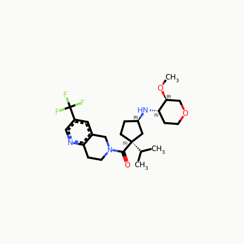 CO[C@H]1COCC[C@@H]1N[C@@H]1CC[C@@](C(=O)N2CCc3ncc(C(F)(F)F)cc3C2)(C(C)C)C1